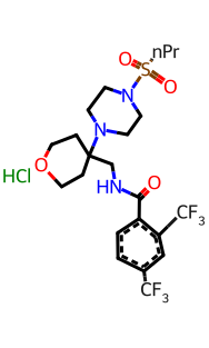 CCCS(=O)(=O)N1CCN(C2(CNC(=O)c3ccc(C(F)(F)F)cc3C(F)(F)F)CCOCC2)CC1.Cl